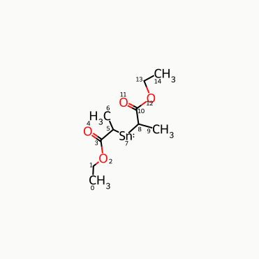 CCOC(=O)[CH](C)[Sn][CH](C)C(=O)OCC